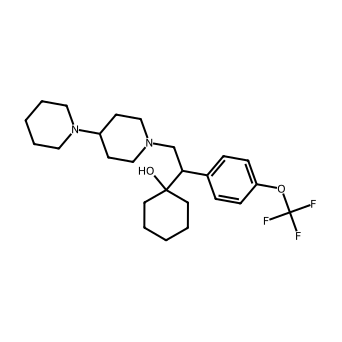 OC1(C(CN2CCC(N3CCCCC3)CC2)c2ccc(OC(F)(F)F)cc2)CCCCC1